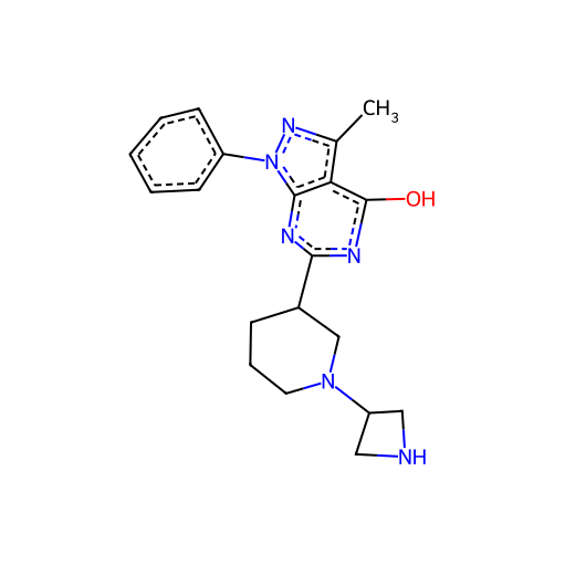 Cc1nn(-c2ccccc2)c2nc(C3CCCN(C4CNC4)C3)nc(O)c12